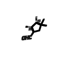 C[C@H]1C(C=O)CC(C)(C)[C@H]1C